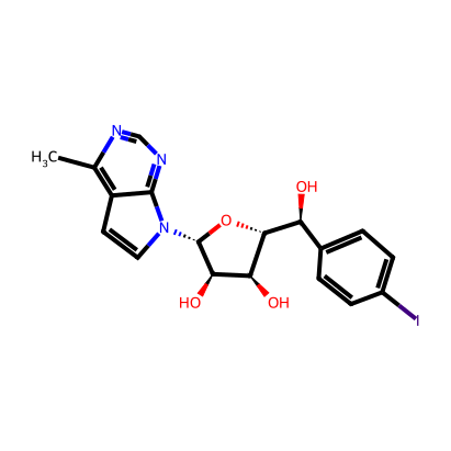 Cc1ncnc2c1ccn2[C@@H]1O[C@H]([C@@H](O)c2ccc(I)cc2)[C@@H](O)[C@H]1O